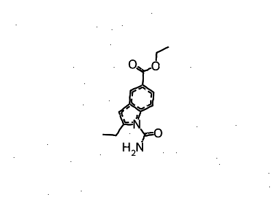 CCOC(=O)c1ccc2c(c1)cc(CC)n2C(N)=O